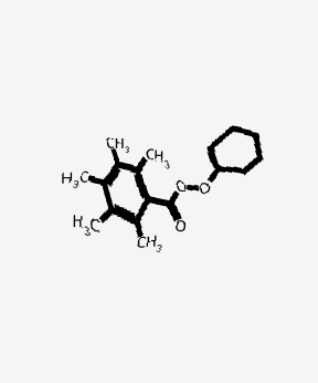 Cc1c(C)c(C)c(C(=O)OO[C]2CCCCC2)c(C)c1C